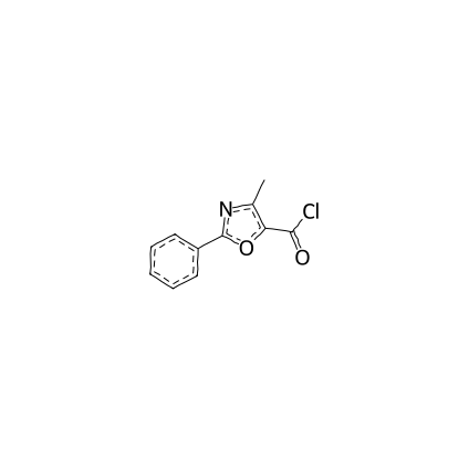 Cc1nc(-c2ccccc2)oc1C(=O)Cl